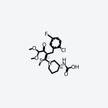 COC(OC)C(=O)/C(Cc1cc(F)ccc1Cl)=C(\SC)N1CCC[C@@H](NC(=O)O)C1